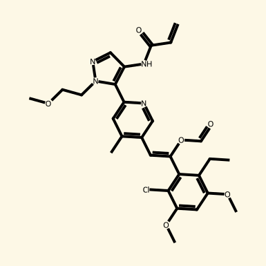 C=CC(=O)Nc1cnn(CCOC)c1-c1cc(C)c(/C=C(\OC=O)c2c(Cl)c(OC)cc(OC)c2CC)cn1